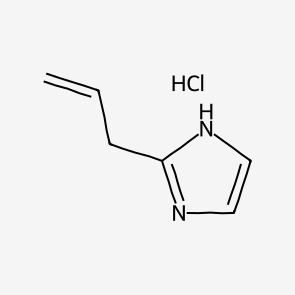 C=CCc1ncc[nH]1.Cl